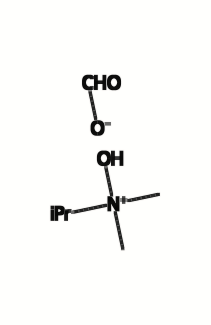 CC(C)[N+](C)(C)O.O=C[O-]